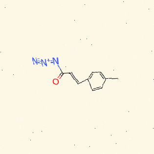 Cc1ccc(/C=C/C(=O)N=[N+]=[N-])cc1